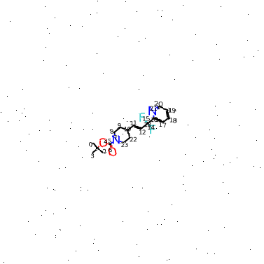 CC(C)(C)OC(=O)N1CCC(C=CC(F)(F)c2ccccn2)CC1